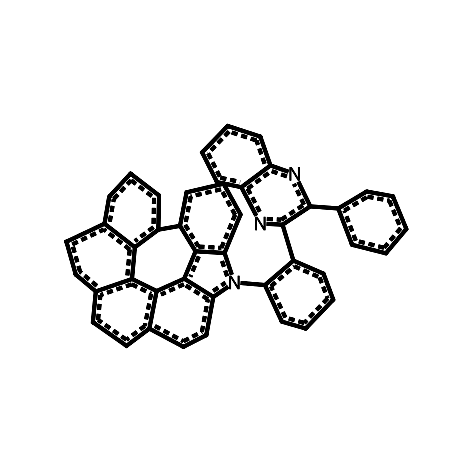 c1ccc(-c2nc3ccccc3nc2-c2ccccc2-n2c3cccc4c3c3c5c(ccc6ccc7cccc-4c7c65)ccc32)cc1